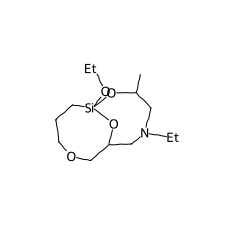 CCO[Si]12CCCOCC(CN(CC)CC(C)O1)O2